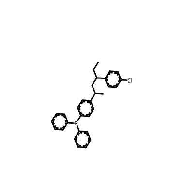 CCC(CC(C)c1ccc(P(c2ccccc2)c2ccccc2)cc1)c1ccc(Cl)cc1